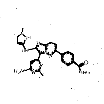 CNC(=O)c1ccc(-c2ccc3nc(NC4=CCN(C)N4)c(-c4cc(N)nc(C)n4)n3n2)cc1